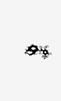 CCOc1cc(CC)c(S(C)(=O)=O)cc1C(=O)Nc1cccc2c1CCN(C)C2